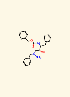 NN(Cc1ccccc1)C[C@H](O)[C@H](Cc1ccccc1)NC(=O)OCc1ccccc1